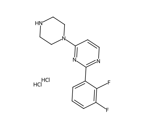 Cl.Cl.Fc1cccc(-c2nccc(N3CCNCC3)n2)c1F